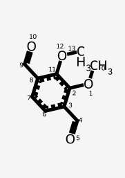 COc1c(C=O)ccc(C=O)c1OC